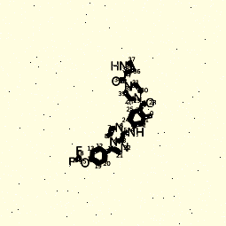 Cc1cc(Nc2nccn3c(-c4ccc(OC(F)F)cc4)cnc23)ccc1C(=O)N1CCN(C(=O)[C@@H]2CCN2)CC1